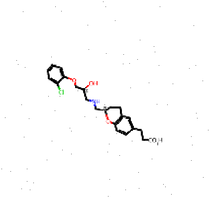 O=C(O)CCc1ccc2c(c1)CC[C@H](CNC[C@H](O)COc1ccccc1Cl)O2